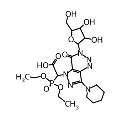 CCOP(=O)(OCC)C(C(=O)O)n1nc(N2CCCCC2)c2nnn(C3OC(CO)C(O)C3O)c(=O)c21